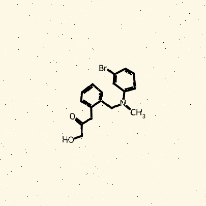 CN(Cc1ccccc1CC(=O)CO)c1cccc(Br)c1